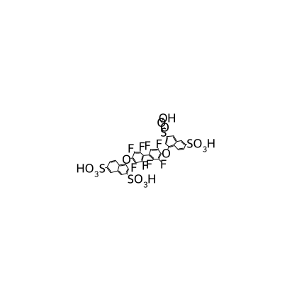 O=S(=O)(O)c1ccc2c(Oc3c(F)c(F)c(-c4c(F)c(F)c(Oc5cc(S(=O)(=O)O)cc6cc(S(=O)(=O)O)ccc56)c(F)c4F)c(F)c3F)cc(SOOO)cc2c1